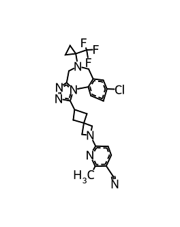 Cc1nc(N2CC3(CC(c4nnc5n4-c4ccc(Cl)cc4CN(C4(C(F)(F)F)CC4)C5)C3)C2)ccc1C#N